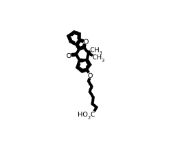 CC1(C)c2cc(OCCCCCCC(=O)O)ccc2C(=O)c2c1oc1ccccc21